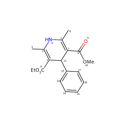 CCOC(=O)C1=C(C)NC(C)=C(C(=O)OC)C1c1ccccc1